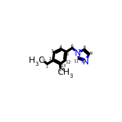 CCc1ccc(Cn2ccnc2)cc1C